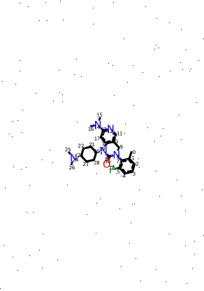 Cc1cccc(F)c1N1Cc2cnc(N(C)C)cc2N([C@H]2CC[C@@H](N(C)C)CC2)C1=O